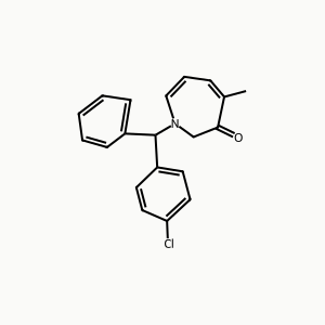 CC1=CC=CN(C(c2ccccc2)c2ccc(Cl)cc2)CC1=O